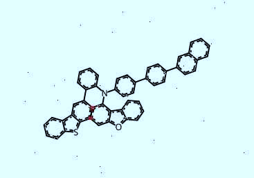 c1ccc(N(c2ccc(-c3ccc(-c4ccc5ccccc5c4)cc3)cc2)c2cccc3oc4ccccc4c23)c(-c2ccc3sc4ccccc4c3c2)c1